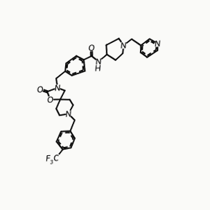 O=C(NC1CCN(Cc2cccnc2)CC1)c1ccc(CN2CC3(CCN(Cc4ccc(C(F)(F)F)cc4)CC3)OC2=O)cc1